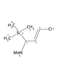 CNC(C=CCl)[Si](C)(C)C